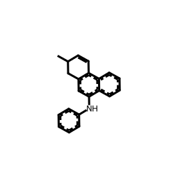 CC1C=Cc2c(cc(Nc3ccccc3)c3ccccc23)C1